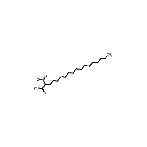 CCCCCCCCCCCCCCCCC(C(=O)O)[N+](=O)[O-]